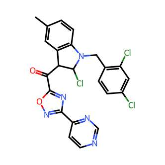 Cc1ccc2c(c1)C(C(=O)c1nc(-c3ccncn3)no1)C(Cl)N2Cc1ccc(Cl)cc1Cl